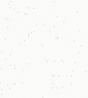 COc1c(C)cc(Cn2cnc3c(Cl)nc(N)nc32)c(Br)c1C